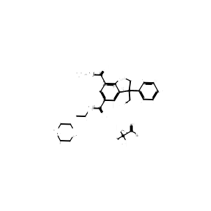 CNC(=O)c1cc(C(=O)NCC[C@H]2CNCCO2)cc2c1OCC2(CO)c1ccccc1.O=C(O)C(F)(F)F